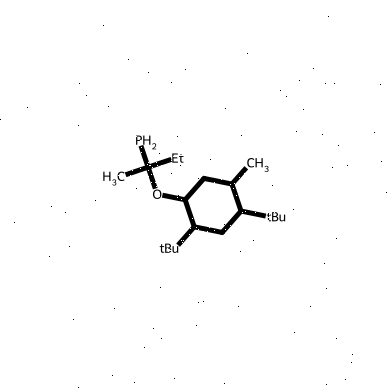 CCC(C)(P)OC1CC(C)C(C(C)(C)C)CC1C(C)(C)C